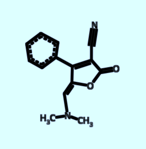 CN(C)/C=C1\OC(=O)C(C#N)=C1c1ccccc1